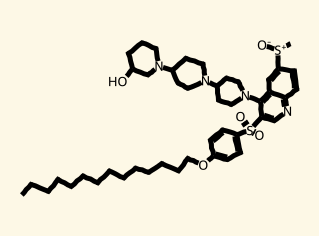 CCCCCCCCCCCCCCOc1ccc(S(=O)(=O)c2cnc3ccc([S+](C)[O-])cc3c2N2CCC(N3CCC(N4CCCC(O)C4)CC3)CC2)cc1